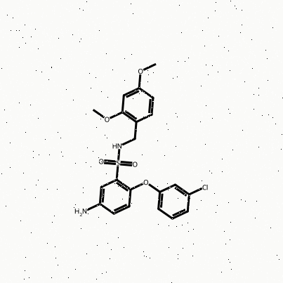 COc1ccc(CNS(=O)(=O)c2cc(N)ccc2Oc2cccc(Cl)c2)c(OC)c1